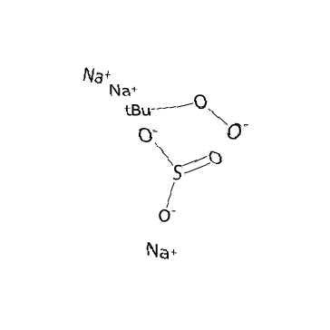 CC(C)(C)O[O-].O=S([O-])[O-].[Na+].[Na+].[Na+]